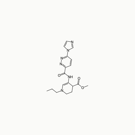 CCCN1C=C(NC(=O)c2ccc(-n3ccnc3)nn2)C(C(=O)OC)CC1